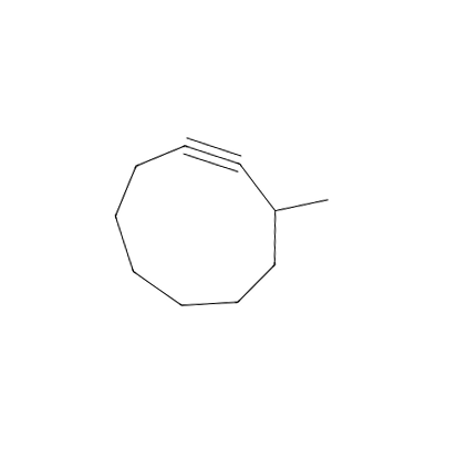 CC1C#CCCCCCC1